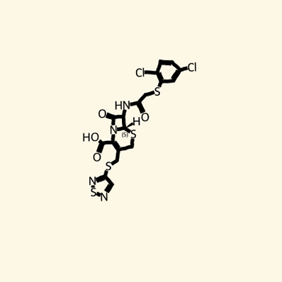 O=C(CSc1cc(Cl)ccc1Cl)NC1C(=O)N2C(C(=O)O)=C(CSc3cnsn3)CS[C@@H]12